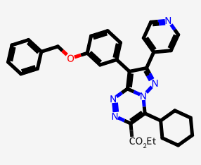 CCOC(=O)c1nnc2c(-c3cccc(OCc4ccccc4)c3)c(-c3ccncc3)nn2c1C1CCCCC1